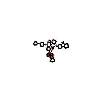 CC1(C)c2ccccc2-c2ccc(N3c4ccccc4C4(c5ccccc5N(c5ccc(-c6ccccc6)cc5)c5ccc(-c6ccccc6)cc54)c4cc(-c5cccc6c5oc5ccccc56)ccc43)cc21